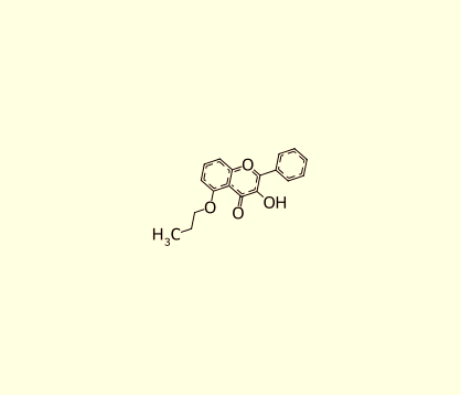 CCCOc1cccc2oc(-c3ccccc3)c(O)c(=O)c12